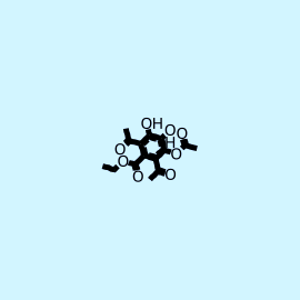 CCOC(=O)c1c(C(C)=O)c(O)c(O)c(OC(C)=O)c1C(C)=O